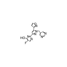 Oc1nc(-c2cc(-c3ccon3)n(Cc3cncnc3)n2)ncc1F